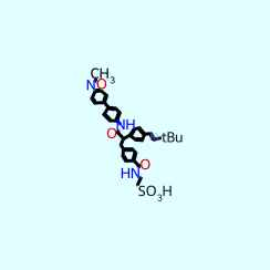 Cc1nc2ccc(-c3ccc(NC(=O)C(Cc4ccc(C(=O)NCCS(=O)(=O)O)cc4)c4ccc(/C=C/C(C)(C)C)cc4)cc3)cc2o1